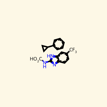 O=C(O)Nc1nc2ccc(C(F)(F)F)cc2[nH]1.c1ccc(C2CC2)cc1